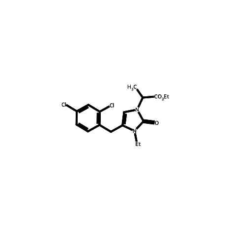 CCOC(=O)C(C)n1cc(Cc2ccc(Cl)cc2Cl)n(CC)c1=O